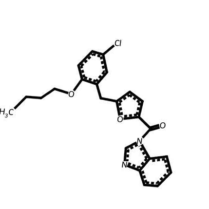 CCCCOc1ccc(Cl)cc1Cc1ccc(C(=O)n2cnc3ccccc32)o1